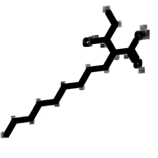 CCCCCCCCCC(C(=O)O)C(Cl)CC